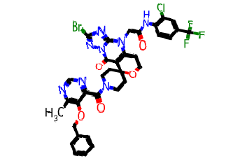 Cc1ncnc(C(=O)N2CCC3(CC2)OCCc2c3c(=O)n3nc(Br)nc3n2CC(=O)Nc2ccc(C(F)(F)F)cc2Cl)c1OCc1ccccc1